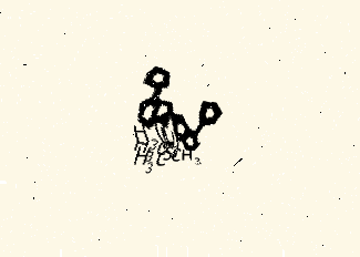 C[Si](C)=[Hf]([CH3])([CH3])([CH]1C=Cc2c(-c3ccccc3)cccc21)[CH]1C=Cc2c(-c3ccccc3)cccc21